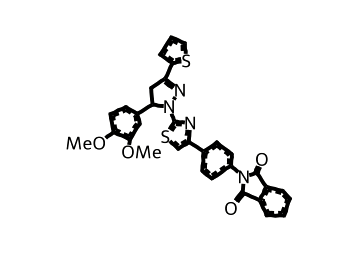 COc1ccc(C2CC(c3cccs3)=NN2c2nc(-c3ccc(N4C(=O)c5ccccc5C4=O)cc3)cs2)cc1OC